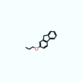 CCCOc1[c]c2c(cc1)-c1ccccc1C2